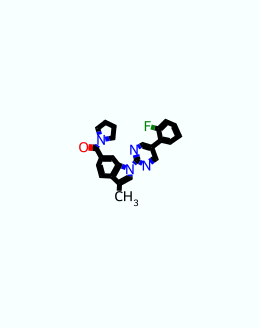 Cc1cn(-c2ncc(-c3ccccc3F)cn2)c2cc(C(=O)N3CCCC3)ccc12